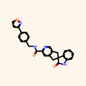 O=C(NCc1ccc(-c2ccon2)cc1)c1cc2c(cn1)CC1(C2)C(=O)Nc2ccccc21